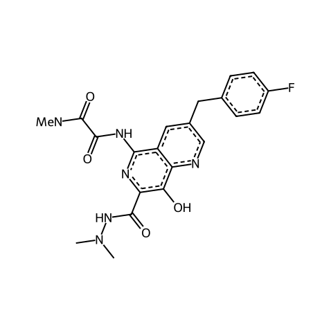 CNC(=O)C(=O)Nc1nc(C(=O)NN(C)C)c(O)c2ncc(Cc3ccc(F)cc3)cc12